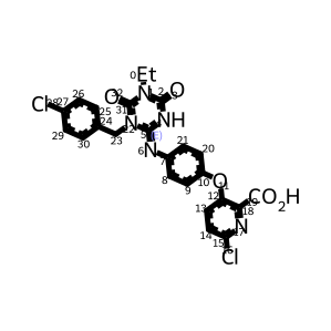 CCn1c(=O)[nH]/c(=N\c2ccc(Oc3ccc(Cl)nc3C(=O)O)cc2)n(Cc2ccc(Cl)cc2)c1=O